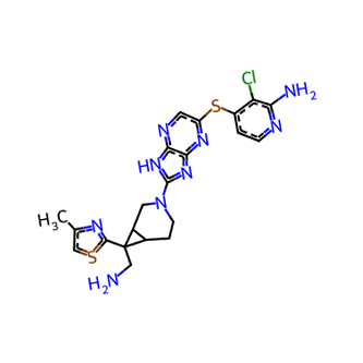 Cc1csc(C2(CN)C3CCN(c4nc5nc(Sc6ccnc(N)c6Cl)cnc5[nH]4)CC32)n1